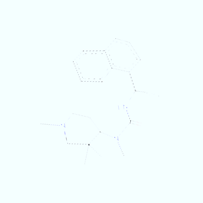 CN1CCC(N(C)C(=O)NC(C(=O)O)c2cccc3ccccc23)C(C)(C)C1